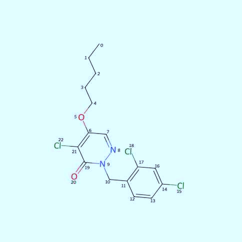 CCCCCOc1cnn(Cc2ccc(Cl)cc2Cl)c(=O)c1Cl